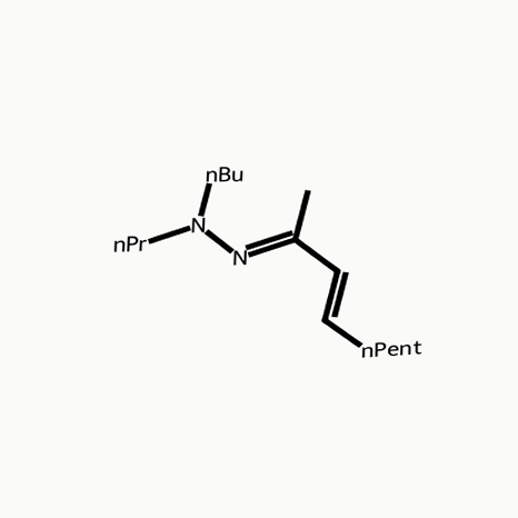 CCCCCC=CC(C)=NN(CCC)CCCC